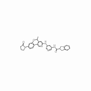 CC1Oc2cc(N3CCCC3=O)ccc2-c2cnc(Nc3cncc(NC(=O)C4Cc5ccccc5C4)c3)cc21